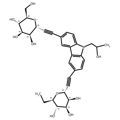 CC[C@H]1O[C@H](C#Cc2ccc3c(c2)c2cc(C#C[C@H]4O[C@H](CO)[C@@H](O)[C@H](O)[C@@H]4O)ccc2n3CC(C)O)[C@@H](O)[C@@H](O)[C@@H]1O